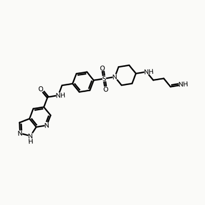 N=CCCNC1CCN(S(=O)(=O)c2ccc(CNC(=O)c3cnc4[nH]ncc4c3)cc2)CC1